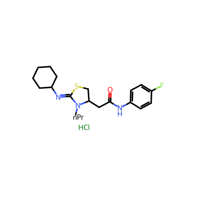 CCCN1/C(=N/C2CCCCC2)SCC1CC(=O)Nc1ccc(F)cc1.Cl